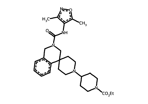 CCOC(=O)N1CCC(N2CCC3(CC2)CN(C(=O)Nc2c(C)noc2C)Cc2ccccc23)CC1